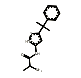 CC(N)C(=O)Nc1cc(C(C)(C)c2ccccc2)n[nH]1